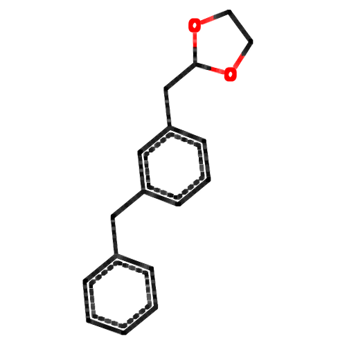 c1ccc(Cc2cccc(CC3OCCO3)c2)cc1